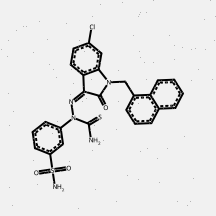 NC(=S)N(/N=C1\C(=O)N(Cc2cccc3ccccc23)c2cc(Cl)ccc21)c1cccc(S(N)(=O)=O)c1